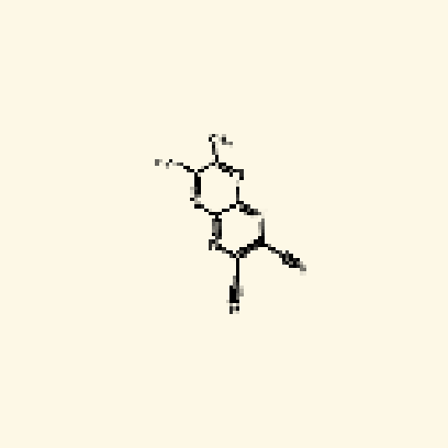 Cc1nc2nc(C#N)c(C#N)nc2nc1C